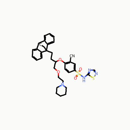 N#Cc1cc(S(=O)(=O)Nc2ncns2)ccc1OC(CCC12CCC(c3ccccc31)c1ccccc12)COCCN1CCCCC1